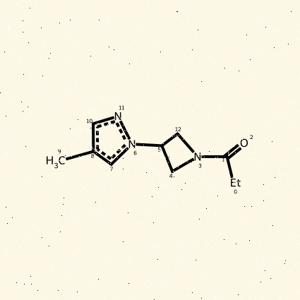 CCC(=O)N1CC(n2cc(C)cn2)C1